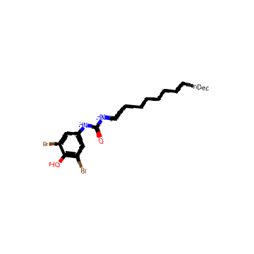 CCCCCCCCCCCCCCCCCCNC(=O)Nc1cc(Br)c(O)c(Br)c1